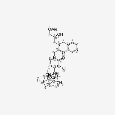 COC[C@@H](O)CN(Cc1ccncc1)C(=O)Cn1ncc(N[C@@H]2C[C@@H]3C[C@H]([C@H]2C)C3(C)C)c(Cl)c1=O